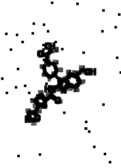 C=CC(=O)N1CCC[C@@H](n2c(NC(=O)c3ccc(-c4cnco4)s3)nc3ccc(CO)cc32)CC1